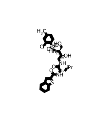 Cc1ccc(S(=O)(=O)N[C@@H](CO)[C@H](O)CNC(=O)[C@H](CC(C)C)NC(=O)c2cc3ccccc3s2)c(Cl)c1